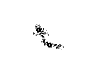 COc1cc(C)c(S(=O)(=O)N(C)CCOCC(=O)N(C)Cc2cccc(OCCN(C)C)c2)c(C)c1